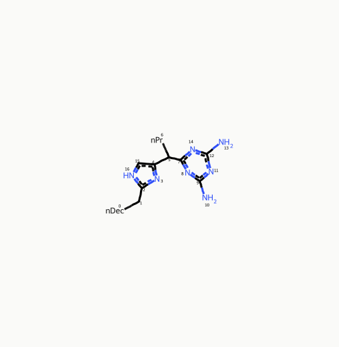 CCCCCCCCCCCc1nc(C(CCC)c2nc(N)nc(N)n2)c[nH]1